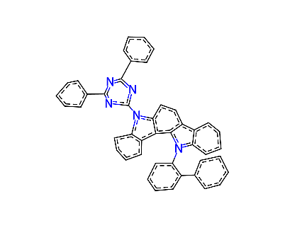 c1ccc(-c2nc(-c3ccccc3)nc(-n3c4ccccc4c4c3ccc3c5ccccc5n(-c5ccccc5-c5ccccc5)c34)n2)cc1